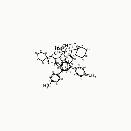 Cc1ccc(-c2cccc3c2C=C(CC2(C)CCCCC2)[CH]3[Zr]([Cl])([Cl])([CH]2C(CC3(C)CCCCC3)=Cc3c(-c4ccc(C)cc4)cccc32)[SiH](C)C)cc1